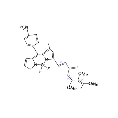 C=C(/C=C/c1cc(C)c2n1[B-](F)(F)N1CC=CC1=C2c1ccc(N)cc1)/C=C(OC)\C(OC)=C(/C)OC